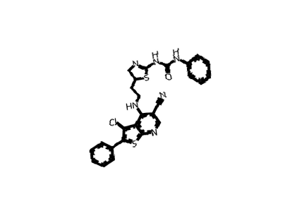 N#Cc1cnc2sc(-c3ccccc3)c(Cl)c2c1NCCC1CN=C(NC(=O)Nc2ccccc2)S1